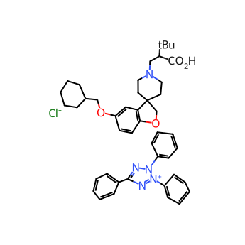 CC(C)(C)C(CN1CCC2(CC1)COc1ccc(OCC3CCCCC3)cc12)C(=O)O.[Cl-].c1ccc(-c2nn(-c3ccccc3)[n+](-c3ccccc3)n2)cc1